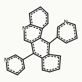 c1cncc(-c2c3ccccc3c(-c3cccnc3)c3c2cnc2ccccc23)c1